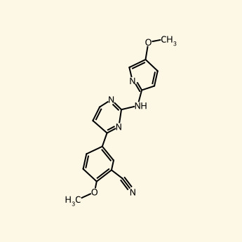 COc1ccc(Nc2nccc(-c3ccc(OC)c(C#N)c3)n2)nc1